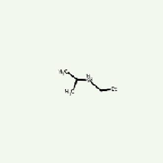 CCC[SiH2]C(C)C